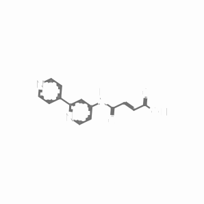 O=C(O)C=CC(=O)Nc1ccnc(-c2ccncc2)c1